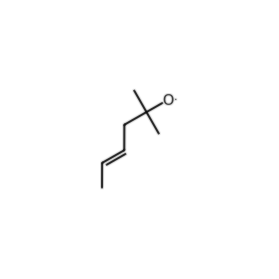 CC=CCC(C)(C)[O]